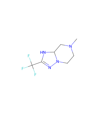 CN1CCN2N=C(C(F)(F)F)NC2C1